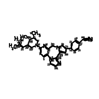 CC1CN(c2ccc3c(n2)Cn2cc(-c4ccc(C#N)cc4)cc2-c2nccn2-3)C[C@@H](CN(C)C)[C@@H]1O